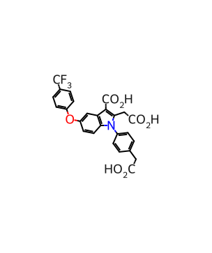 O=C(O)Cc1ccc(-n2c(CC(=O)O)c(C(=O)O)c3cc(Oc4ccc(C(F)(F)F)cc4)ccc32)cc1